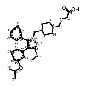 CSc1nn(C[C@H]2CC[C@@H](COCC(=O)O)CC2)c(-c2ccccc2)c1-c1cccc(OC(C)C)c1